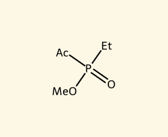 CCP(=O)(OC)C(C)=O